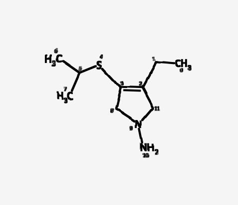 CCC1=C(SC(C)C)CN(N)C1